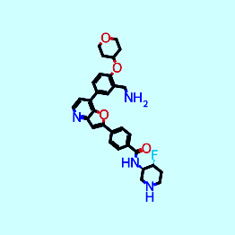 NCc1cc(-c2ccnc3cc(-c4ccc(C(=O)N[C@@H]5CNCC[C@H]5F)cc4)oc23)ccc1OC1CCOCC1